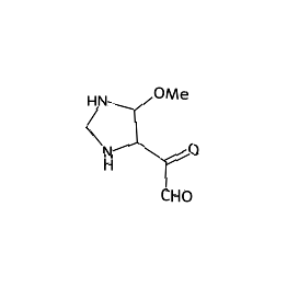 COC1NCNC1C(=O)C=O